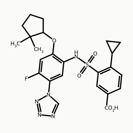 CC1(C)CCCC1Oc1cc(F)c(-n2cnnn2)cc1NS(=O)(=O)c1cc(C(=O)O)ccc1C1CC1